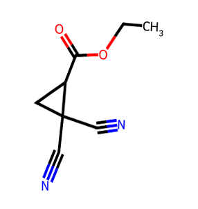 CCOC(=O)C1CC1(C#N)C#N